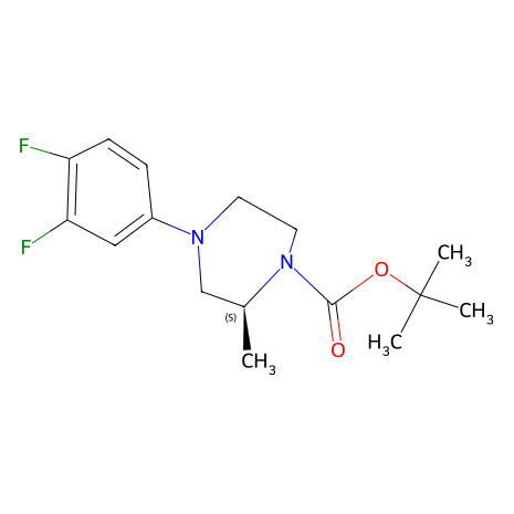 C[C@H]1CN(c2ccc(F)c(F)c2)CCN1C(=O)OC(C)(C)C